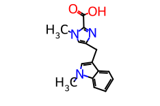 Cn1cc(Cc2cn(C)c3ccccc23)nc1C(=O)O